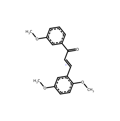 COc1cccc(C(=O)/C=C/c2cc(OC)ccc2OC)c1